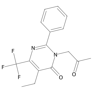 CCc1c(C(F)(F)F)nc(-c2ccccc2)n(CC(C)=O)c1=O